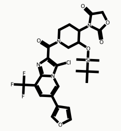 CC(C)(C)[Si](C)(C)OC1CN(C(=O)c2nc3c(C(F)(F)F)cc(-c4ccoc4)cn3c2Cl)CCC1N1C(=O)COC1=O